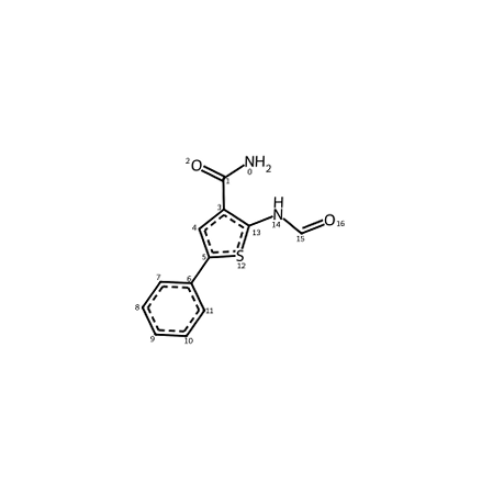 NC(=O)c1cc(-c2ccccc2)sc1NC=O